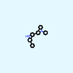 C1=CC(N2c3ccccc3C3C=C(c4ccc5[nH]c6c(c5c4)C=C(c4ccccc4)CC6)C=CC32)=CCC1